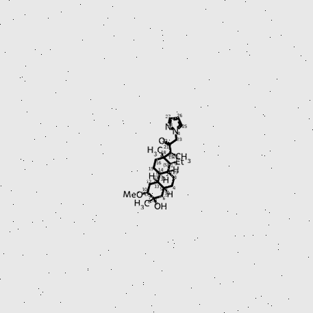 CC[C@H]1[C@@H]2CC[C@@H]3C[C@](C)(O)[C@@H](OC)C[C@@H]3[C@H]2CC[C@]1(C)[C@H](C)C(=O)Cn1cccn1